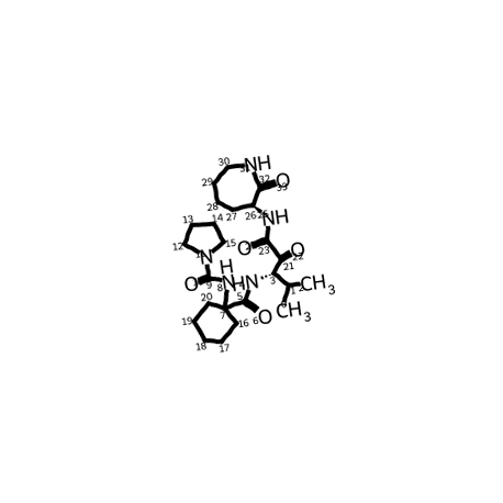 CC(C)[C@H](NC(=O)C1(NC(=O)N2CCCC2)CCCCC1)C(=O)C(=O)N[C@H]1CCCCNC1=O